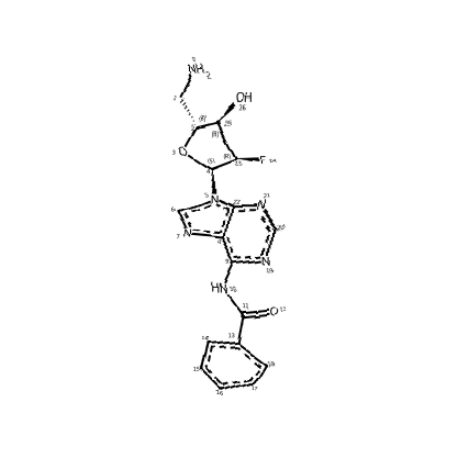 NC[C@H]1O[C@H](n2cnc3c(NC(=O)c4ccccc4)ncnc32)[C@H](F)[C@@H]1O